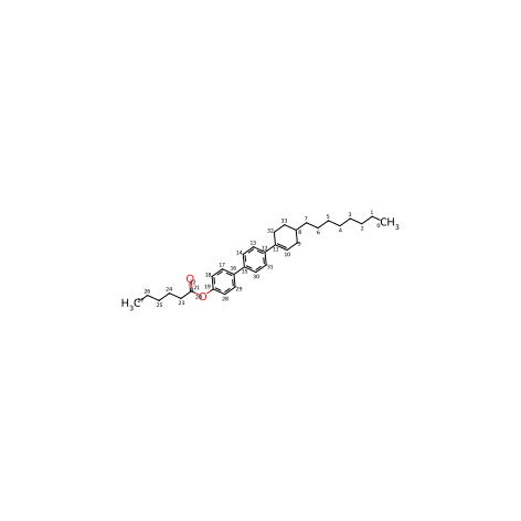 CCCCCCCCC1CC=C(c2ccc(-c3ccc(OC(=O)CCCCC)cc3)cc2)CC1